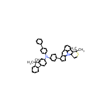 CC1(C)SC=Cc2c1c1cccc3cc4c(-c5ccc(N(c6ccc(-c7ccccc7)cc6)c6ccc7c(c6)C(C)(C)c6ccccc6-7)cc5)ccc4n2c31